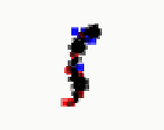 Nc1ccccc1NC(=O)c1ccc(OCCNC(=O)c2cc3cc(OCCO)ccc3o2)cc1